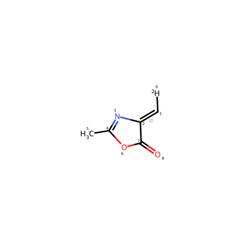 [2H]/C=C1\N=C(C)OC1=O